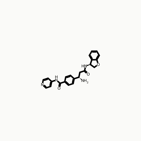 N[C@@H](CC(=O)N[C@@H]1COc2ccccc21)c1ccc(C(=O)Nc2ccncc2)cc1